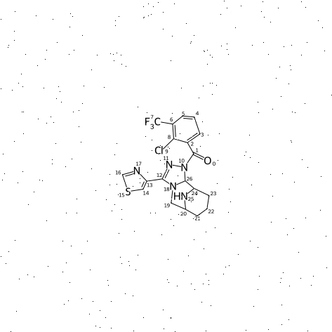 O=C(c1cccc(C(F)(F)F)c1Cl)N1N=C(c2cscn2)N2CC3CCCC(N3)C21